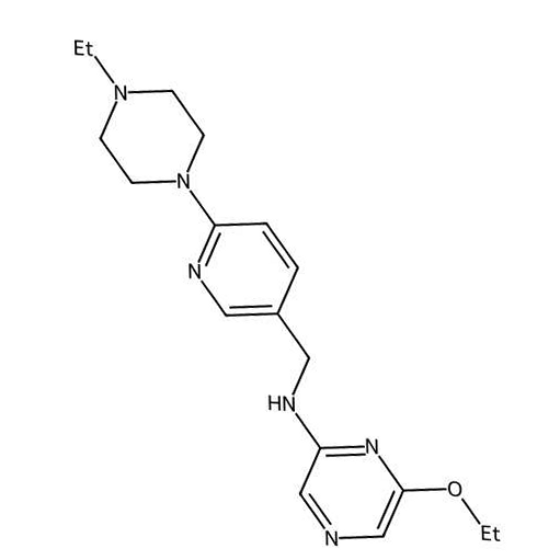 CCOc1cncc(NCc2ccc(N3CCN(CC)CC3)nc2)n1